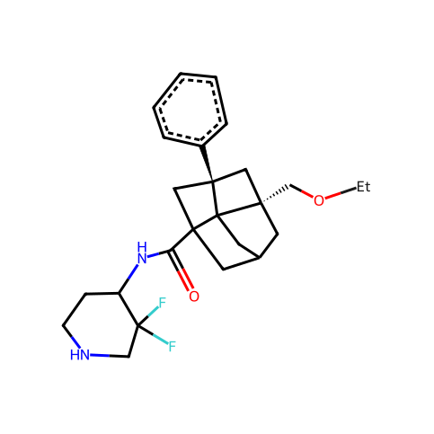 CCOC[C@@]12CC3CC4(C(=O)NC5CCNCC5(F)F)C[C@](c5ccccc5)(C1)C42C3